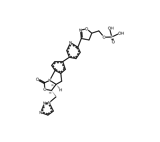 O=C1O[C@@H](Cn2ccnn2)[C@@H]2Cc3cc(-c4ccc(C5=NOC(COP(=O)(O)O)C5)nc4)ccc3N12